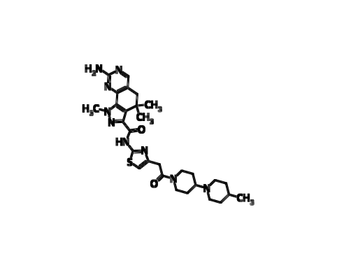 CC1CCN(C2CCN(C(=O)Cc3csc(NC(=O)c4nn(C)c5c4C(C)(C)Cc4cnc(N)nc4-5)n3)CC2)CC1